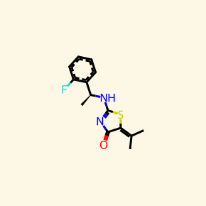 CC(C)=C1SC(N[C@@H](C)c2ccccc2F)=NC1=O